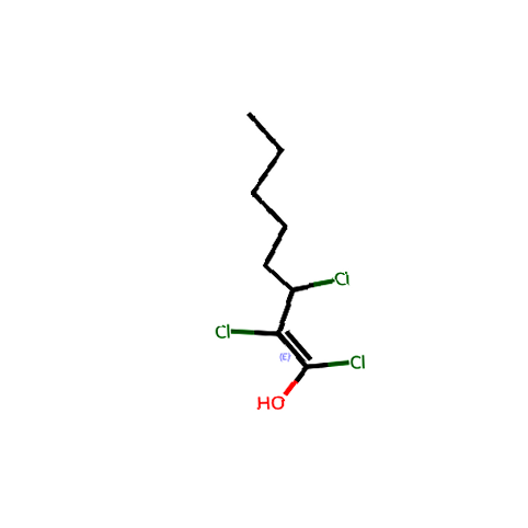 CCCCCC(Cl)/C(Cl)=C(/O)Cl